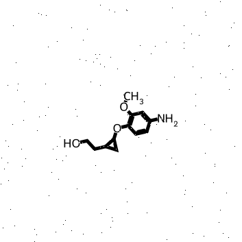 COc1cc(N)ccc1OC1CC1CCO